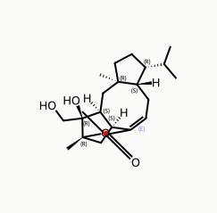 CC(C)[C@H]1CC[C@]2(C)C[C@H]3[C@@H]4C[C@@](C)(OC(=O)/C4=C/C[C@@H]12)[C@]3(O)CO